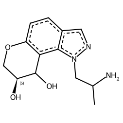 CC(N)Cn1ncc2ccc3c(c21)C(O)[C@@H](O)CO3